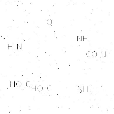 N.NC(=O)CC(N)C(=O)O.O=C(O)CCC(=O)O